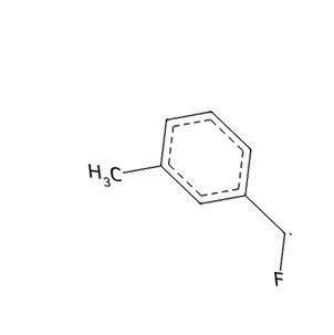 Cc1cccc([CH]F)c1